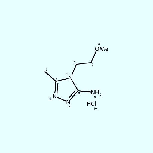 COCCn1c(C)nnc1N.Cl